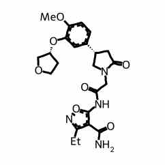 CCc1noc(NC(=O)CN2C[C@H](c3ccc(OC)c(O[C@@H]4CCOC4)c3)CC2=O)c1C(N)=O